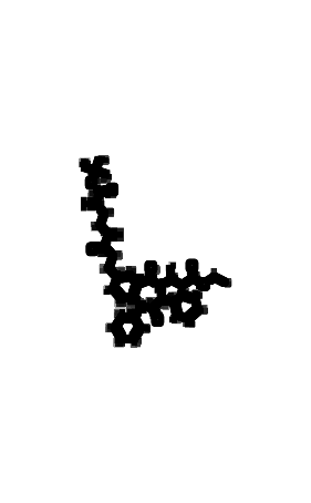 CCOC(=O)CC(C)N1C(=O)c2cc(CCC(=O)NCCNC(=O)OC(C)(C)C)ccc2N(c2ccccc2)C(=O)C1c1ccccc1